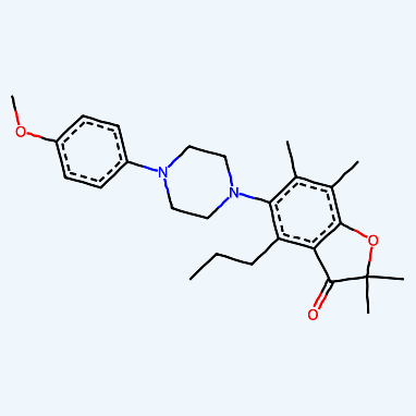 CCCc1c2c(c(C)c(C)c1N1CCN(c3ccc(OC)cc3)CC1)OC(C)(C)C2=O